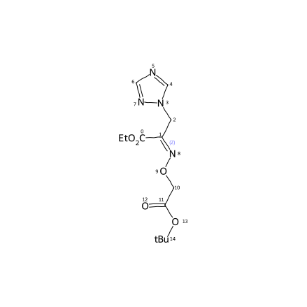 CCOC(=O)/C(Cn1cncn1)=N\OCC(=O)OC(C)(C)C